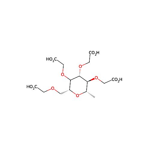 C[C@@H]1O[C@H](COCC(=O)O)C(OCC(=O)O)[C@H](OCC(=O)O)[C@H]1OCC(=O)O